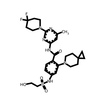 Cc1cc(NC(=O)c2ccc(NS(=O)(=O)CCO)cc2N2CCC3(CC2)CC3)nc(N2CCC(F)(F)CC2)n1